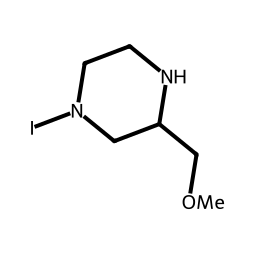 COCC1CN(I)CCN1